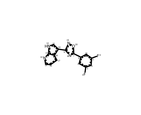 Fc1cc(F)cc(-c2nc(-c3c[nH]c4ncccc34)no2)c1